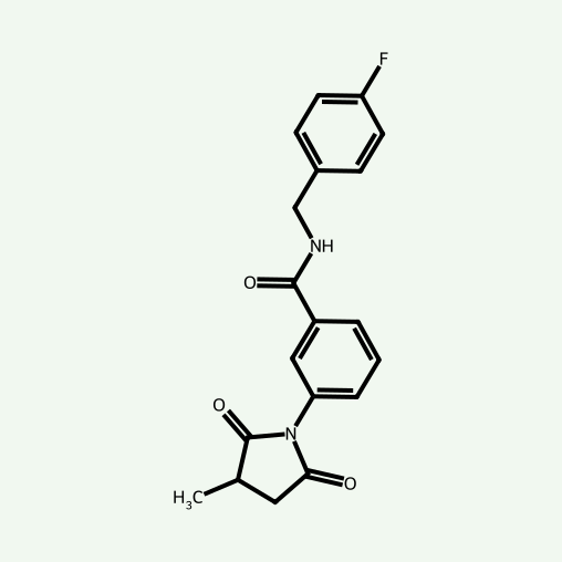 CC1CC(=O)N(c2cccc(C(=O)NCc3ccc(F)cc3)c2)C1=O